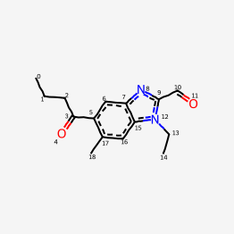 CCCC(=O)c1cc2nc(C=O)n(CC)c2cc1C